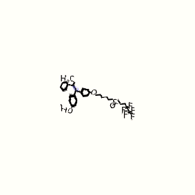 CC/C(=C(/c1ccc(O)cc1)c1ccc(OCCCCCC[S+]([O-])CCCC(F)(F)C(F)(F)F)cc1)c1ccccc1